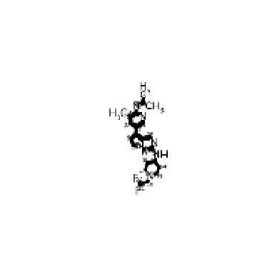 CC(C)=Nc1ncc(-c2ccn3nc(NC4CCN(CC(F)F)CC4)ncc23)cc1C